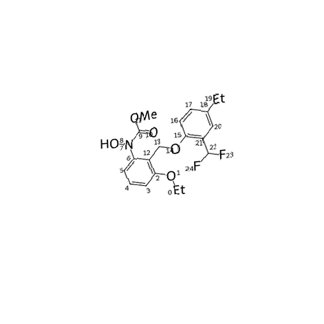 CCOc1cccc(N(O)C(=O)OC)c1COc1ccc(CC)cc1C(F)F